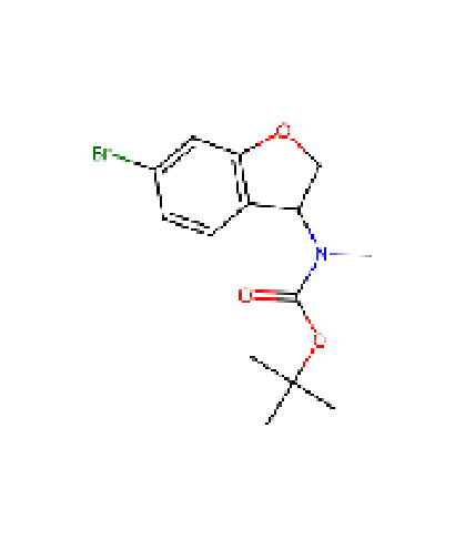 CN(C(=O)OC(C)(C)C)C1COc2cc(Br)ccc21